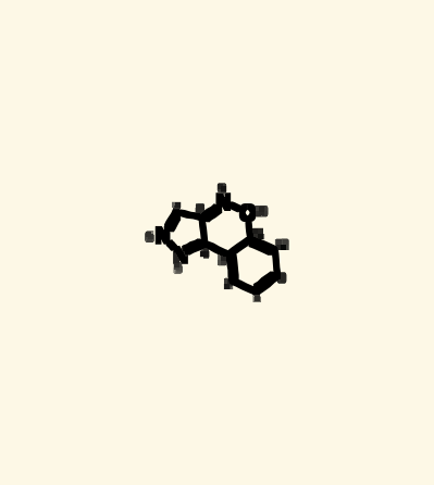 c1ccc2c3nncc-3noc2c1